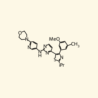 COc1cc(C)cc(-c2nc(C(C)C)sc2-c2ccnc(Nc3ccc(N4CCOCC4)nc3)n2)c1